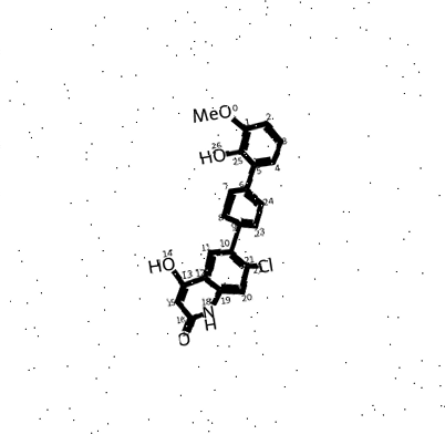 COc1cccc(-c2ccc(-c3cc4c(O)cc(=O)[nH]c4cc3Cl)cc2)c1O